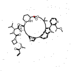 C=CC(=O)N(C)C[C@@H]1CCN1C(=O)N(C)[C@H](C(=O)N[C@H]1Cc2nc(cs2)-c2ccc3c(c2)c(c(-c2cccnc2[C@H](C)OC)n3C)CC(C)(C)COC[C@@]2(C=O)CCCN(N2)C1=O)C(C)C